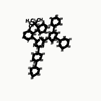 CC1(C)Oc2cccc(-c3nc(-c4ccc(-c5ccccc5)cc4)nc(-c4cc(-c5ccccc5)cc(-c5ccccc5)c4)n3)c2-c2ccccc21